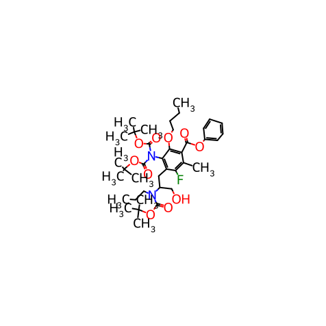 CCCCOc1c(C(=O)Oc2ccccc2)c(C)c(F)c(CC(CO)N(CCC)C(=O)OC(C)(C)C)c1N(C(=O)OC(C)(C)C)C(=O)OC(C)(C)C